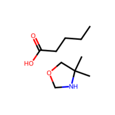 CC1(C)COCN1.CCCCC(=O)O